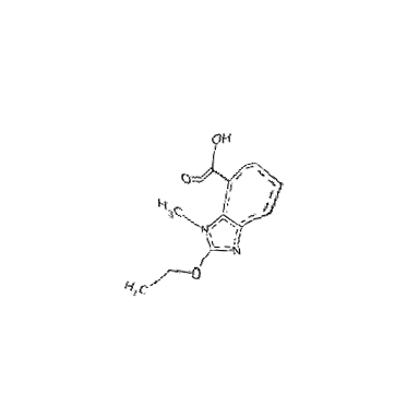 CCOc1nc2cccc(C(=O)O)c2n1C